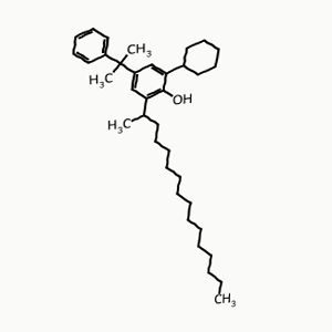 CCCCCCCCCCCCCCC(C)c1cc(C(C)(C)c2ccccc2)cc(C2CCCCC2)c1O